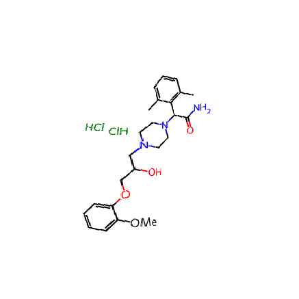 COc1ccccc1OCC(O)CN1CCN(C(C(N)=O)c2c(C)cccc2C)CC1.Cl.Cl